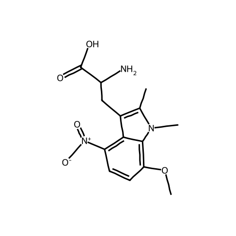 COc1ccc([N+](=O)[O-])c2c(CC(N)C(=O)O)c(C)n(C)c12